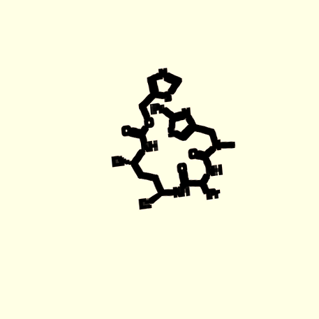 CC[C@@H](CC[C@H](CC)NC(=O)C(NC(=O)N(C)Cc1csc(C(C)C)n1)C(C)C)NC(=O)OCc1cncs1